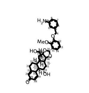 COc1c(OCc2cccc(N)c2)cccc1[C@H]1O[C@@H]2C[C@H]3[C@@H]4CCC5=CC(=O)C=C[C@]5(C)[C@H]4[C@@H](O)C[C@]3(C)[C@]2(C(=O)CO)O1